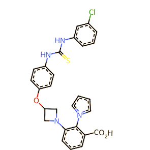 O=C(O)c1cccc(N2CC(Oc3ccc(NC(=S)Nc4cccc(Cl)c4)cc3)C2)c1-n1cccc1